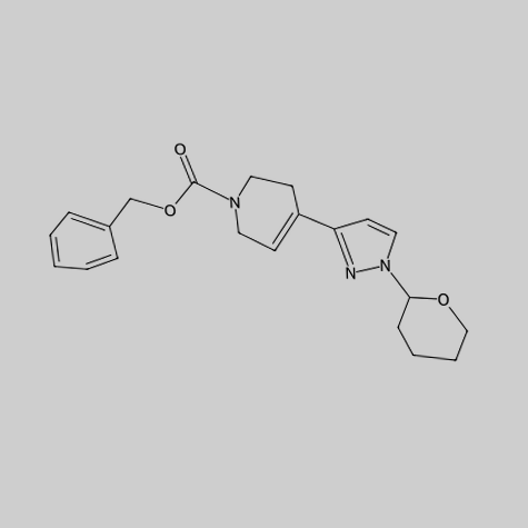 O=C(OCc1ccccc1)N1CC=C(c2ccn(C3CCCCO3)n2)CC1